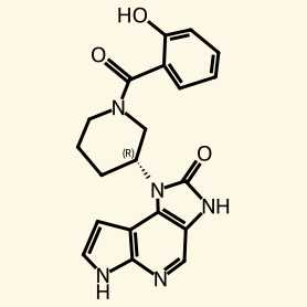 O=C(c1ccccc1O)N1CCC[C@@H](n2c(=O)[nH]c3cnc4[nH]ccc4c32)C1